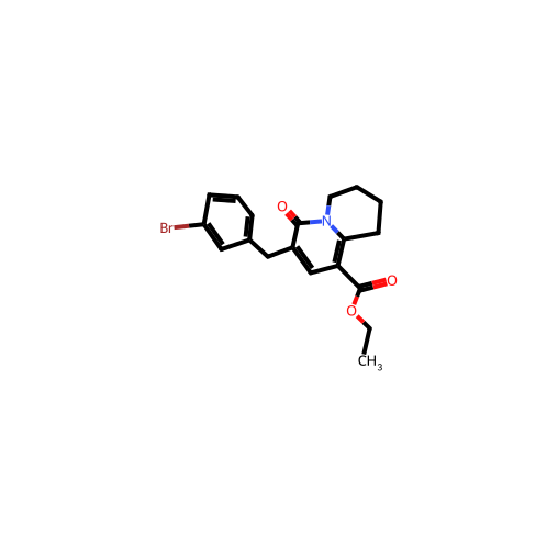 CCOC(=O)c1cc(Cc2cccc(Br)c2)c(=O)n2c1CCCC2